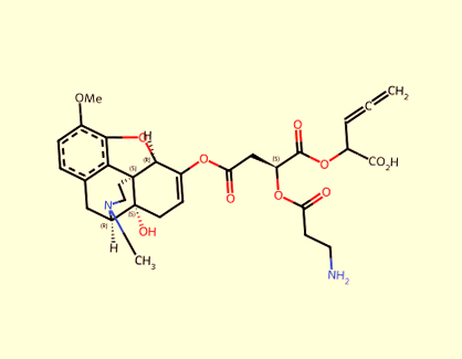 C=C=CC(OC(=O)[C@H](CC(=O)OC1=CC[C@@]2(O)[C@H]3Cc4ccc(OC)c5c4[C@@]2(CCN3C)[C@H]1O5)OC(=O)CCN)C(=O)O